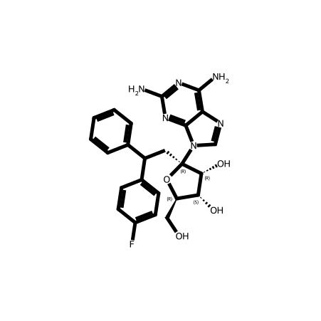 Nc1nc(N)c2ncn([C@]3(CC(c4ccccc4)c4ccc(F)cc4)O[C@H](CO)[C@@H](O)[C@H]3O)c2n1